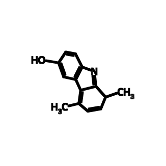 CC1=C2C(=Nc3ccc(O)cc32)C(C)C=C1